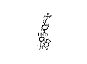 NC1=NC2(c3cc(NC(=O)c4cnc(OCC(F)(F)F)cn4)ccc3F)CCCC2CS1